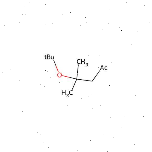 CC(=O)CC(C)(C)OC(C)(C)C